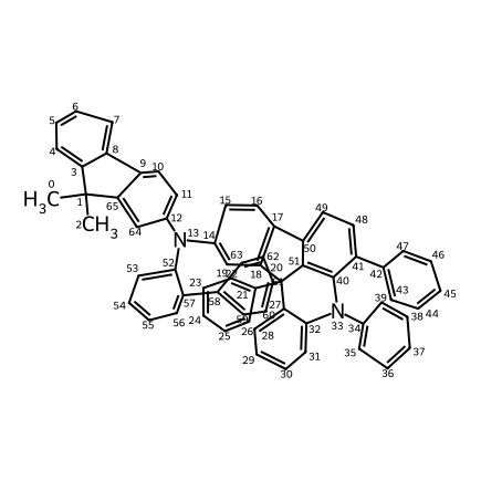 CC1(C)c2ccccc2-c2ccc(N(c3ccc4c(c3)C3(c5ccccc5)c5ccccc5N(c5ccccc5)c5c(-c6ccccc6)ccc-4c53)c3ccccc3-c3ccccc3)cc21